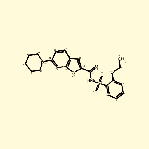 CCOc1ccccc1S(=O)(=O)NC(=O)c1cc2ccc(N3CCCCC3)cc2o1